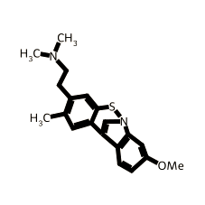 COc1ccc2c3cn(c2c1)Sc1cc(CCN(C)C)c(C)cc1-3